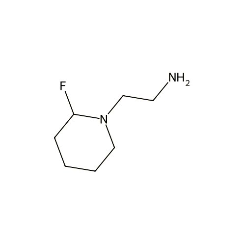 NCCN1CCCCC1F